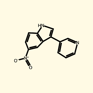 O=[N+]([O-])c1ccc2[nH]cc(-c3cccnc3)c2c1